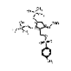 Cc1ccc(S(=O)(=O)OC[C@H]2[C@H](CO[Si](C)(C)C(C)(C)C)[C@@H](O[Si](C)(C)C(C)(C)C)C[C@H]2OC=O)cc1